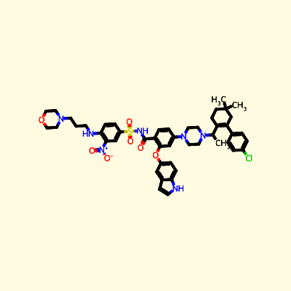 CC(C1=C(c2ccc(Cl)cc2)CC(C)(C)CC1)N1CCN(c2ccc(C(=O)NS(=O)(=O)c3ccc(NCCCN4CCOCC4)c([N+](=O)[O-])c3)c(Oc3ccc4[nH]ccc4c3)c2)CC1